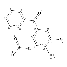 CCC(=O)CC.O=C(c1ccccc1)c1ccc([N+](=O)[O-])c(Br)c1